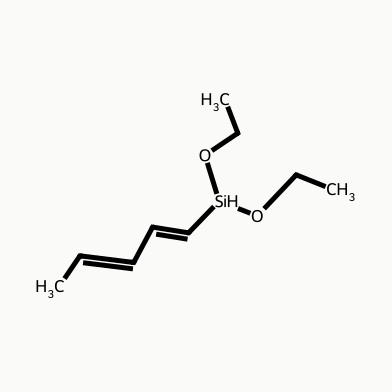 C/C=C/C=C/[SiH](OCC)OCC